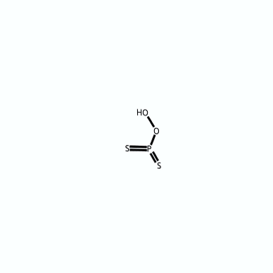 OOP(=S)=S